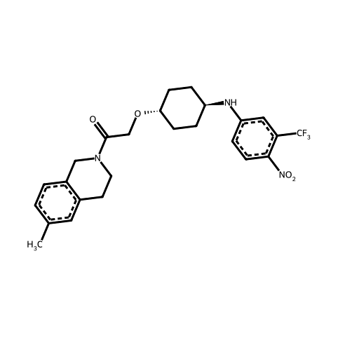 Cc1ccc2c(c1)CCN(C(=O)CO[C@H]1CC[C@H](Nc3ccc([N+](=O)[O-])c(C(F)(F)F)c3)CC1)C2